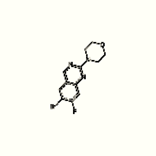 Fc1cc2nc(N3CCOCC3)ncc2cc1Br